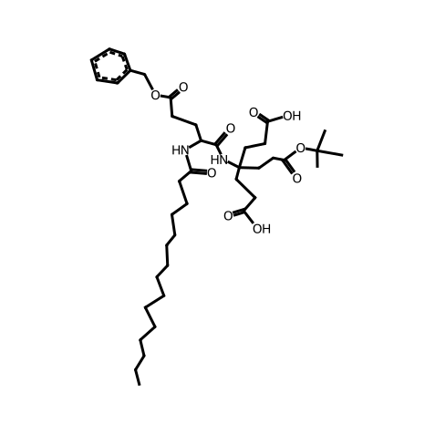 CCCCCCCCCCCCCCC(=O)NC(CCC(=O)OCc1ccccc1)C(=O)NC(CCC(=O)O)(CCC(=O)O)CCC(=O)OC(C)(C)C